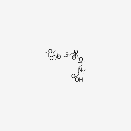 CC(C)OC(C)C(=O)C(C)(C)OCCSCCS(=O)(=O)CCOC(C)(C)CCN(CCC(=O)O)C(C)C